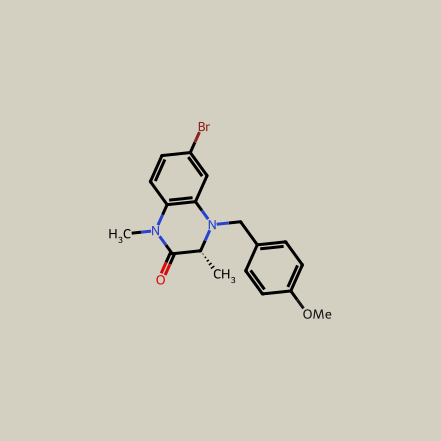 COc1ccc(CN2c3cc(Br)ccc3N(C)C(=O)[C@H]2C)cc1